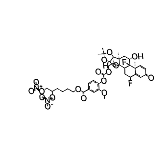 COc1cc(C(=O)OCCCCC(CO[N+](=O)[O-])O[N+](=O)[O-])ccc1OC(=O)OCC(=O)[C@@]12OC(C)(C)O[C@@H]1CC1C3C[C@H](F)C4=CC(=O)C=C[C@]4(C)[C@@]3(F)[C@@H](O)C[C@@]12C